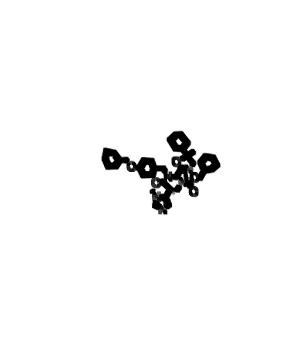 Cn1cncc1[C@H](CNC(=O)OCc1ccccc1)C(=O)N(CC(=O)NCC(C)(C)c1ccccc1)Cc1ccc(OCc2ccccc2)cc1